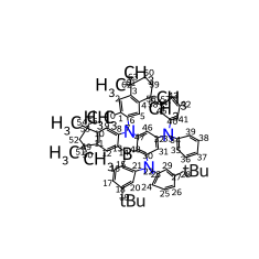 Cc1cc2c(cc1N1c3cc4c(cc3B3c5ccc(C(C)(C)C)cc5N(c5cccc(C(C)(C)C)c5)c5cc(N(c6ccccc6)c6ccccc6)cc1c53)C(C)(C)CC4(C)C)C(C)(C)CCC2(C)C